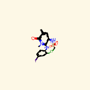 Cc1cc(NS(=O)(=O)CCl)c(Nc2ccc(I)cc2F)n(C)c1=O